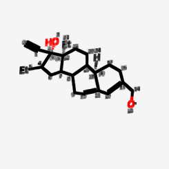 C#C[C@]1(O)C(C[CH2])CC2C3CC=C4C=C(C[O])CC[C@@H]4C3CC[C@@]21CC